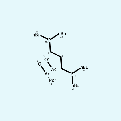 CC(=O)[O-].CC(=O)[O-].CCCCP(CCCC)CCCP(CCCC)CCCC.[Pd+2]